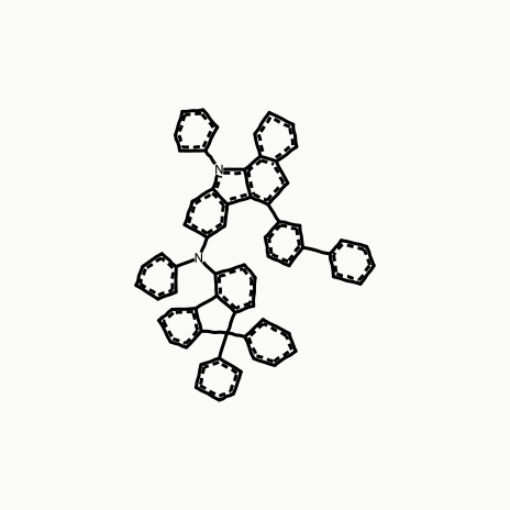 c1ccc(-c2cccc(-c3cc4ccccc4c4c3c3cc(N(c5ccccc5)c5cccc6c5-c5ccccc5C6(c5ccccc5)c5ccccc5)ccc3n4-c3ccccc3)c2)cc1